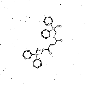 CC(C)(C)[Si](COC(=O)/C=C/C(=O)OC[Si](c1ccccc1)(c1ccccc1)C(C)(C)C)(c1ccccc1)c1ccccc1